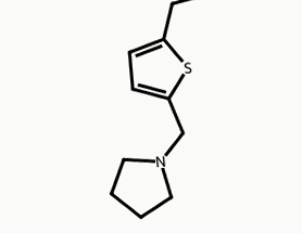 CCc1ccc(CN2CCCC2)s1